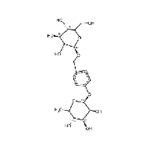 CC1O[C@@H](Oc2ccc(CO[C@@H]3OC(CO)[C@@H](O)[C@H](O)C3O)cc2)C(O)[C@@H](O)[C@@H]1O